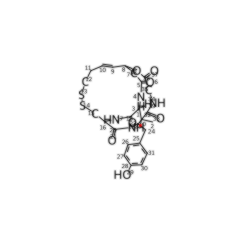 CC(C)[C@H]1NC(=O)CC2/C=C/CCSSCC(NC1=O)C(=O)NC(Cc1ccc(O)cc1)C(=O)NCC(=O)O2